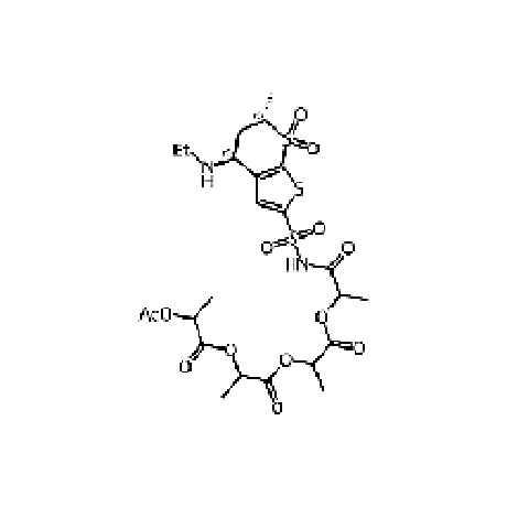 CCN[C@H]1C[C@H](C)S(=O)(=O)c2sc(S(=O)(=O)NC(=O)C(C)OC(=O)C(C)OC(=O)C(C)OC(=O)C(C)OC(C)=O)cc21